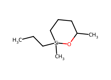 CCC[Si]1(C)CCCC(C)O1